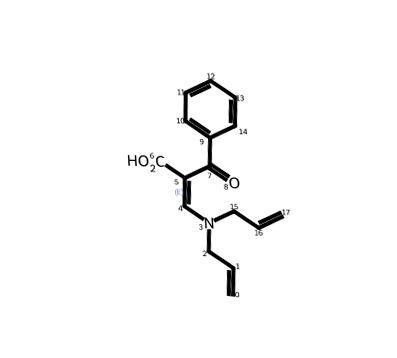 C=CCN(/C=C(/C(=O)O)C(=O)c1ccccc1)CC=C